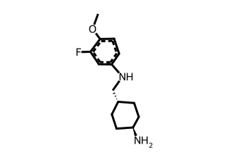 COc1ccc(NC[C@H]2CC[C@H](N)CC2)cc1F